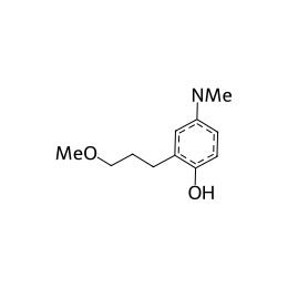 CNc1ccc(O)c(CCCOC)c1